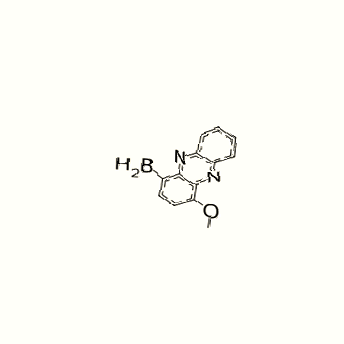 Bc1ccc(OC)c2nc3ccccc3nc12